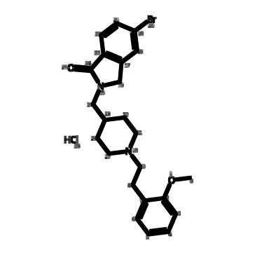 COc1ccccc1CCN1CCC(CN2Cc3cc(Br)ccc3C2=O)CC1.Cl